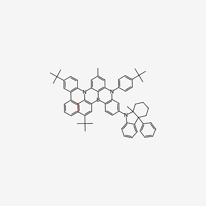 Cc1cc2c3c(c1)N(c1ccc(C(C)(C)C)cc1-c1ccccc1)c1ccc(C(C)(C)C)cc1B3c1ccc(N3c4ccccc4C4(c5ccccc5)CCCCC34C)cc1N2c1ccc(C(C)(C)C)cc1